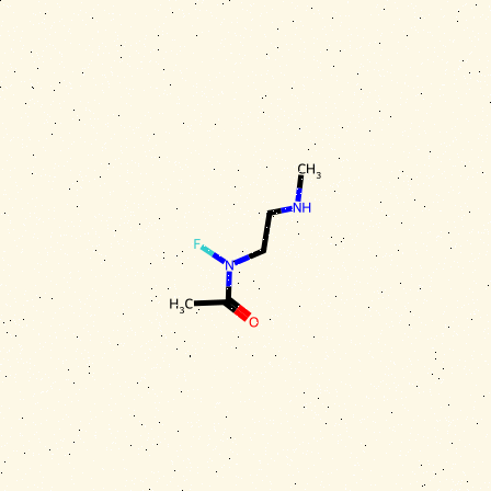 CNCCN(F)C(C)=O